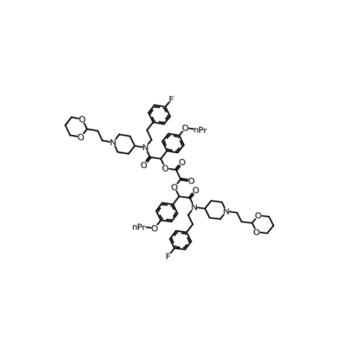 CCCOc1ccc(C(OC(=O)C(=O)OC(C(=O)N(CCc2ccc(F)cc2)C2CCN(CCC3OCCCO3)CC2)c2ccc(OCCC)cc2)C(=O)N(CCc2ccc(F)cc2)C2CCN(CCC3OCCCO3)CC2)cc1